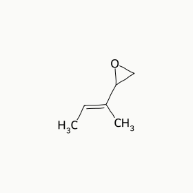 C/C=C(\C)C1CO1